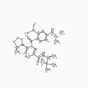 C/C(=N\C(C(=O)N1CCC[C@@H]1C)C(=S)c1cnc(N[C@@H](C)C(F)(F)F)cc1C(F)F)C(=O)N[C@@H](C)C(C)(C)O